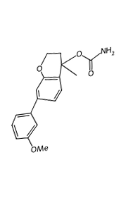 COc1cccc(-c2ccc3c(c2)OCCC3(C)OC(N)=O)c1